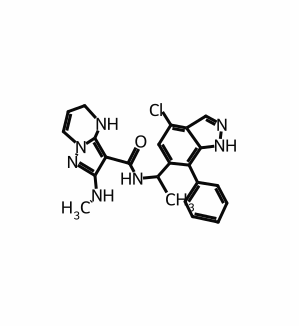 CNc1nn2c(c1C(=O)NC(C)c1cc(Cl)c3cn[nH]c3c1-c1ccccc1)NCC=C2